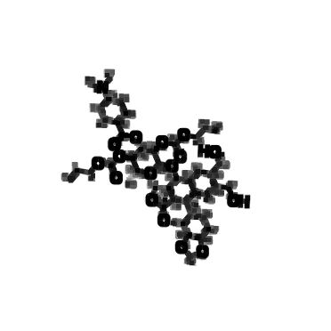 C=CCOC(=O)O[C@H]1[C@H](OC(=O)c2ccc(N(C)C)cc2)[C@@H](OC(=O)OCC=C)C(Oc2c3c(c(-c4ccc5c(c4)OCO5)c4cc(CO)c(CO)cc24)C(=O)OC3)O[C@@H]1C